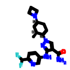 C[C@H]1C[C@H](N2CCC2)CC[C@@H]1n1cc(C(N)=O)c(Nc2ccc(C(F)F)nc2)n1